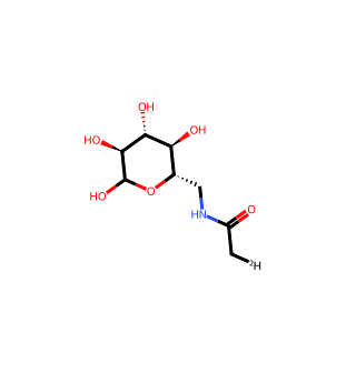 [2H]CC(=O)NC[C@@H]1OC(O)[C@@H](O)[C@H](O)[C@H]1O